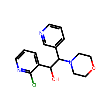 OC(c1cccnc1Cl)C(c1cccnc1)N1CCOCC1